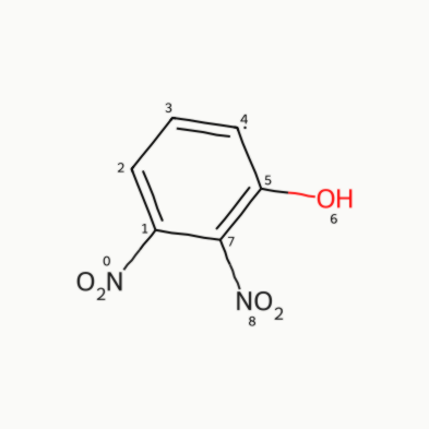 O=[N+]([O-])c1cc[c]c(O)c1[N+](=O)[O-]